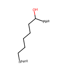 CCCCCCCCCC[CH](O)[PbH]